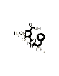 C[C@@H](Cc1ccccc1)c1nnc(-c2cc(C(=O)O)cn(C)c2=O)o1